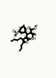 CCCCc1c(CCC)sc2c1C(c1cccc([N+](=O)[O-])c1)C(C(=O)OC)=C(C)N2